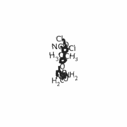 C=C(c1nccc(COc2ccc(C(C)(C)c3cc(Cl)c(OCCCl)c(C#N)c3)cc2)n1)S(N)(=O)=O